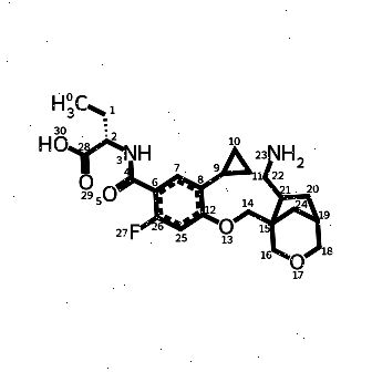 CC[C@H](NC(=O)c1cc(C2CC2)c(OCC23COCC(CC2CN)C3)cc1F)C(=O)O